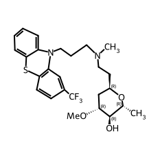 CO[C@@H]1C[C@@H](CCN(C)CCCN2c3ccccc3Sc3ccc(C(F)(F)F)cc32)O[C@H](C)[C@H]1O